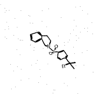 CCC(C)(C)c1ccc(S(=O)(=O)N2CCc3ccccc3C2)cc1